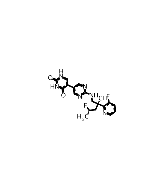 C[C@@H](F)C[C@](C)(CNc1ncc(-c2c[nH]c(=O)[nH]c2=O)cn1)c1ncccc1F